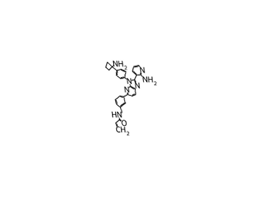 C=CC(=O)NCc1cccc(-c2ccc3nc(-c4cccnc4N)n(-c4ccc(C5(N)CCC5)cc4)c3n2)c1